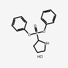 Cl.O=P(Oc1ccccc1)(Oc1ccccc1)C1CCCN1